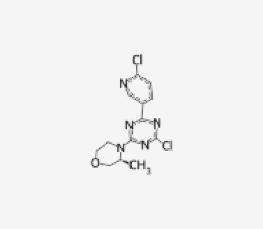 C[C@H]1COCCN1c1nc(Cl)nc(-c2ccc(Cl)nc2)n1